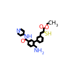 CCOC(=O)C(S)=Cc1cccc(-c2cc(C(=O)Nc3ccncc3)ccc2CN)c1